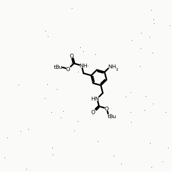 CC(C)(C)OC(=O)NCc1cc(N)cc(CNC(=O)OC(C)(C)C)c1